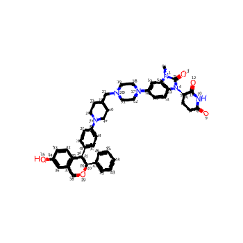 Cn1c(=O)n([C@@H]2CCC(=O)NC2=O)c2ccc(N3CCN(CC4CCN(c5ccc([C@@H]6c7ccc(O)cc7CO[C@@H]6c6ccccc6)cc5)CC4)CC3)cc21